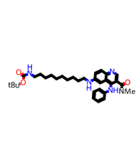 CNC(=O)c1cnc2ccc(NCCCCCCCCCCNC(=O)OC(C)(C)C)cc2c1Nc1ccccc1